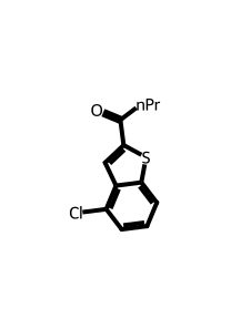 CCCC(=O)c1cc2c(Cl)cccc2s1